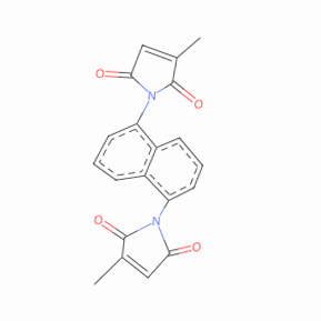 CC1=CC(=O)N(c2cccc3c(N4C(=O)C=C(C)C4=O)cccc23)C1=O